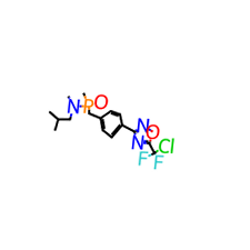 CC(C)CN(C)P(C)(=O)Cc1ccc(-c2noc(C(F)(F)Cl)n2)cc1